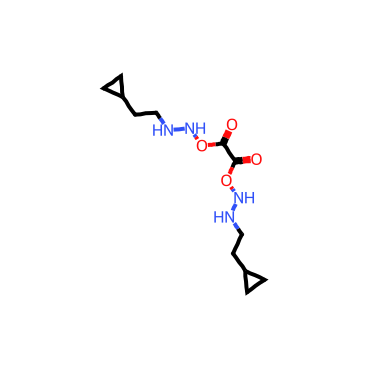 O=C(ONNCCC1CC1)C(=O)ONNCCC1CC1